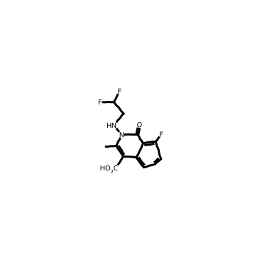 Cc1c(C(=O)O)c2cccc(F)c2c(=O)n1NCC(F)F